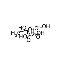 C=CCC(O)COCCOCCO.NC(CCC(=O)O)C(=O)O